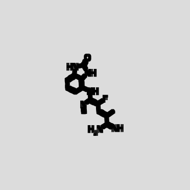 C=N/C(Nc1cccc2[nH]c(=O)[nH]c12)=C(F)\C=C(/C)C(=N)N